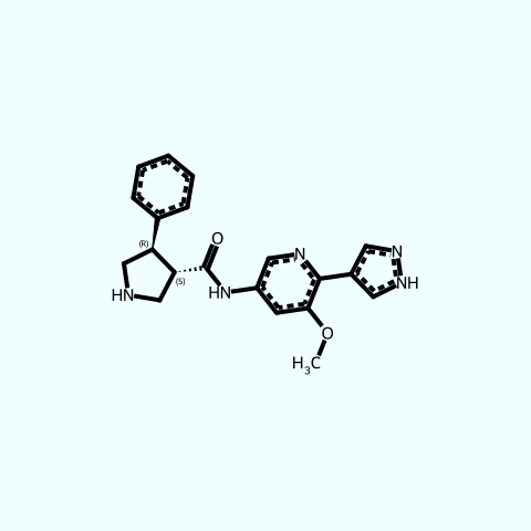 COc1cc(NC(=O)[C@@H]2CNC[C@H]2c2ccccc2)cnc1-c1cn[nH]c1